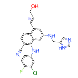 N#Cc1ccc2c(/C=C/CO)cc(NCc3cnc[nH]3)cc2c1Nc1ccc(F)c(Cl)c1